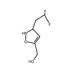 OCC1=CC(CC(F)F)NO1